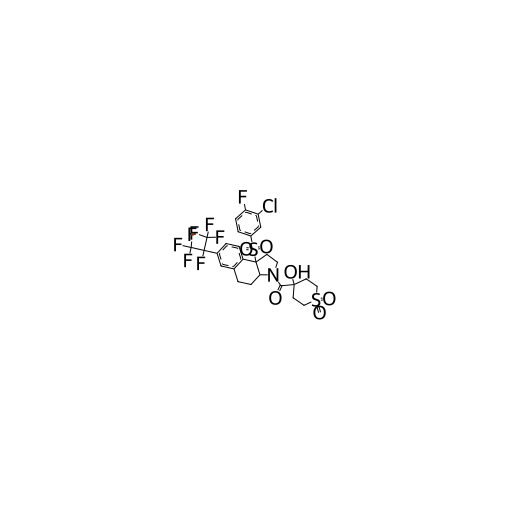 O=C(N1CCC2(S(=O)(=O)c3ccc(F)c(Cl)c3)c3ccc(C(F)(C(F)(F)F)C(F)(F)F)cc3CCC12)C1(O)CCS(=O)(=O)CC1